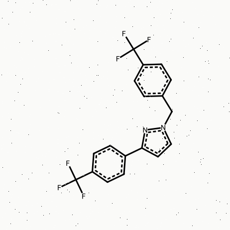 FC(F)(F)c1ccc(Cn2ccc(-c3ccc(C(F)(F)F)cc3)n2)cc1